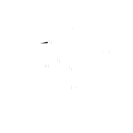 Cc1cc2c(c(O)c1-c1cc3c(nn1)N([C@@H]1CCCC[C@H]1O)CCO3)CCC2